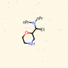 CCCN(CCC)C(CC)C1CNCCO1